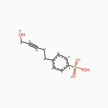 O=S(=O)(O)c1ccc(CCC#CCO)cc1